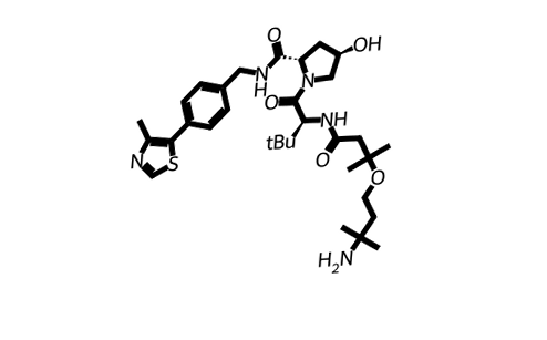 Cc1ncsc1-c1ccc(CNC(=O)[C@@H]2C[C@@H](O)CN2C(=O)[C@@H](NC(=O)CC(C)(C)OCCC(C)(C)N)C(C)(C)C)cc1